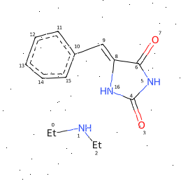 CCNCC.O=C1NC(=O)C(=Cc2ccccc2)N1